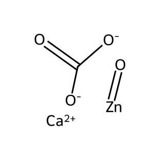 O=C([O-])[O-].[Ca+2].[O]=[Zn]